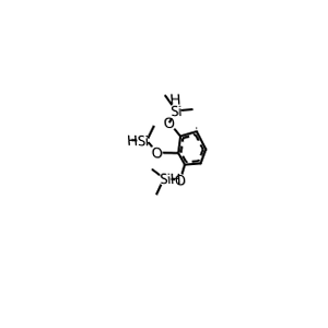 C[SiH](C)Oc1[c]ccc(O[SiH](C)C)c1O[SiH](C)C